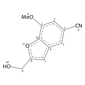 COc1cc(C#N)cc2cc(CO)oc12